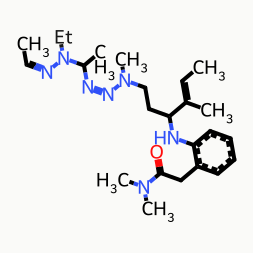 C/C=N\N(CC)C(C)/N=N\N(C)CCC(Nc1ccccc1CC(=O)N(C)C)/C(C)=C/C